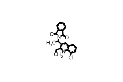 C=Cc1nc2c(Cl)cccc2cc1C(C)N1C(=O)c2ccccc2C1=O